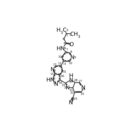 CC(C)CC(=O)Nc1cncc(-c2cnc3[nH]nc(C4=NC5C(C#N)=CN=CC5N4)c3c2)c1